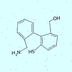 NCc1ccccc1-c1c(S)cccc1CO